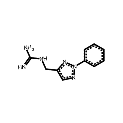 N=C(N)NCc1cnn(-c2ccccc2)n1